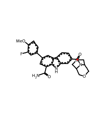 COc1ccc(-c2cc(C(N)=O)c3[nH]c4cc(C(=O)N5C6COCC5COC6)ccc4c3c2)cc1F